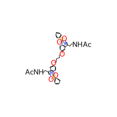 CC(=O)NCCc1cn(S(=O)(=O)c2ccccc2)c2ccc(OCCCCOc3ccc4c(c3)c(CCNC(C)=O)cn4S(=O)(=O)c3ccccc3)cc12